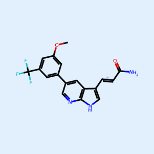 COc1cc(-c2cnc3[nH]cc(/C=C/C(N)=O)c3c2)cc(C(F)(F)F)c1